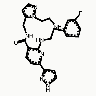 NCCn1nccc1CNC(=O)c1ccc(-c2cc[nH]n2)nc1NCCc1cccc(F)c1